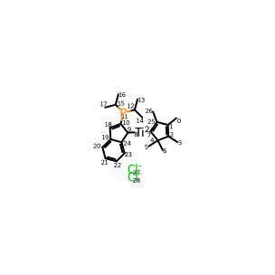 CC1=C(C)C(C)(C)[C]([Ti+2][CH]2C(P(C(C)C)C(C)C)=Cc3ccccc32)=C1C.[Cl-].[Cl-]